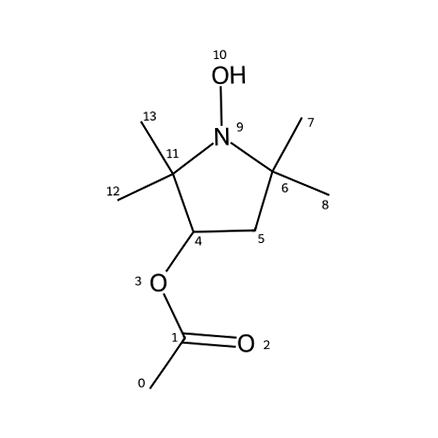 CC(=O)OC1CC(C)(C)N(O)C1(C)C